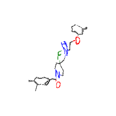 CC1=CC(OCCNCC2(F)CCN(C(=O)c3ccc(C)c(C)c3)CC2)=CCC1